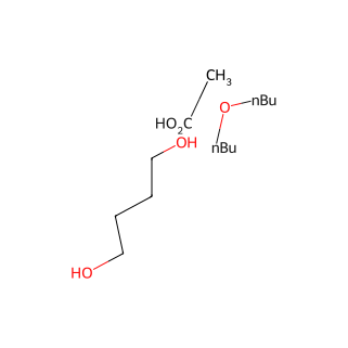 CC(=O)O.CCCCOCCCC.OCCCCO